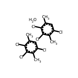 Cc1cc(Cl)c(C)c(Cl)c1Cl.Cc1cc(Cl)c(C)c(Cl)c1Cl.O